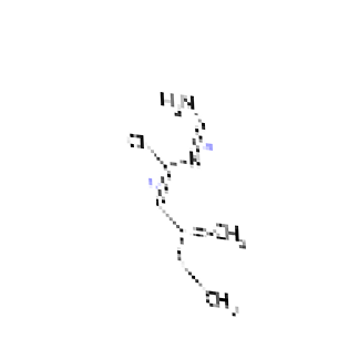 C=C(/C=C(Cl)\N=C/N)CC